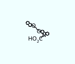 O=C(O)CCn1c2ccccc2c2ccc(OCCCCOc3ccc4ccccc4c3)cc21